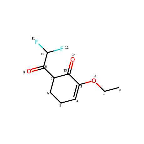 CCOC1=CCCC(C(=O)C(F)F)C1=O